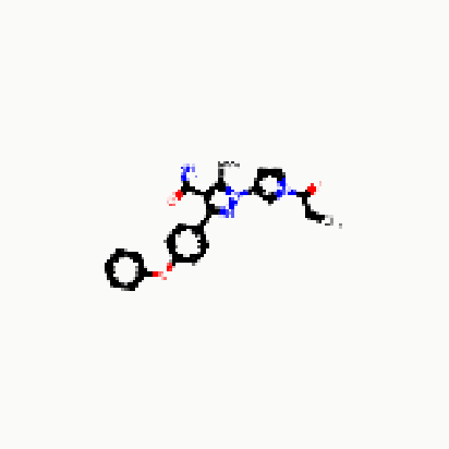 C=CC(=O)n1ccc(-n2nc(-c3ccc(Oc4ccccc4)cc3)c(C(N)=O)c2NC)c1